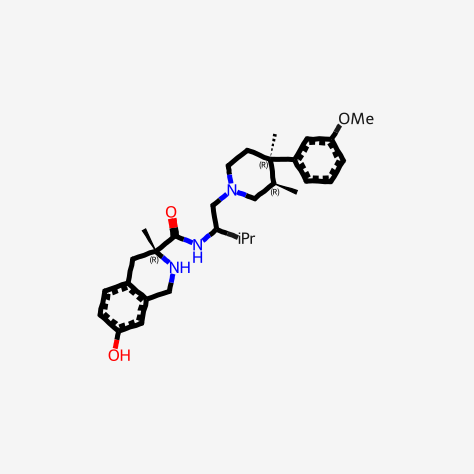 COc1cccc([C@]2(C)CCN(CC(NC(=O)[C@@]3(C)Cc4ccc(O)cc4CN3)C(C)C)C[C@@H]2C)c1